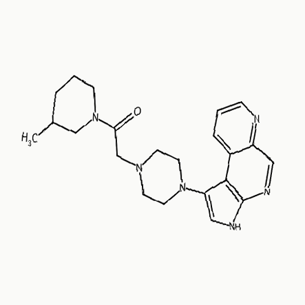 CC1CCCN(C(=O)CN2CCN(c3c[nH]c4ncc5ncccc5c34)CC2)C1